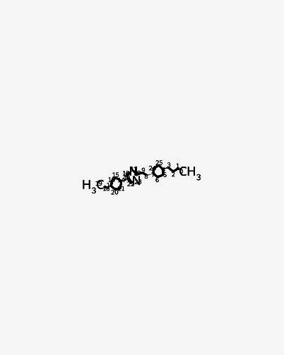 CCCC[C@H]1CC[C@H](CCc2ncc([C@H]3CC[C@H](CC)CC3)cn2)CC1